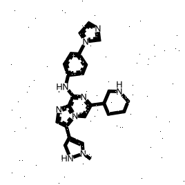 CN1C=C(c2cnc3c(Nc4ccc(-n5ccnc5)cc4)nc(C4CCCNC4)cn23)CN1